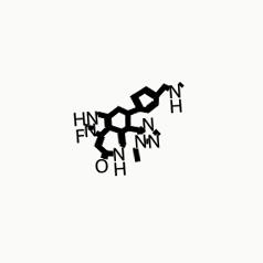 CCn1ncnc1C1C2=CNC(=O)C=C3C2=C(CNN3F)CC1c1ccc(CNC)cc1